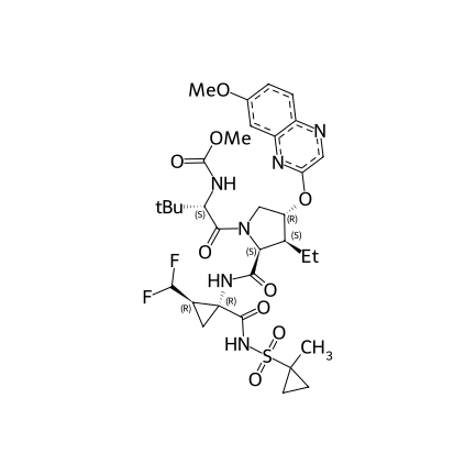 CC[C@@H]1[C@@H](Oc2cnc3ccc(OC)cc3n2)CN(C(=O)[C@@H](NC(=O)OC)C(C)(C)C)[C@@H]1C(=O)N[C@]1(C(=O)NS(=O)(=O)C2(C)CC2)C[C@H]1C(F)F